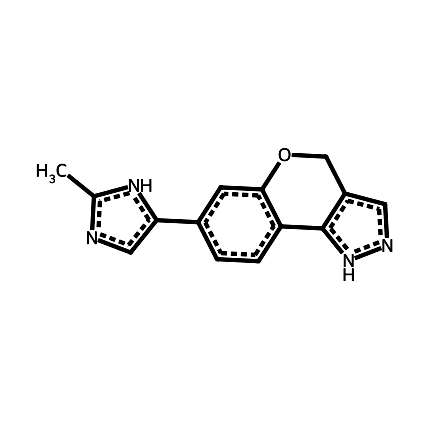 Cc1ncc(-c2ccc3c(c2)OCc2cn[nH]c2-3)[nH]1